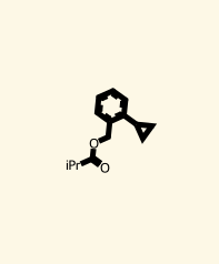 CC(C)C(=O)OCc1ccccc1C1CC1